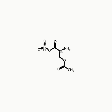 CC(=O)OC[C@H](N)C(=O)O[SH](=O)=O